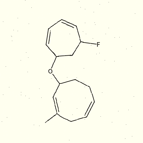 C/C1=C/C(OC2C=CC=CC(F)C2)CC/C=C\C1